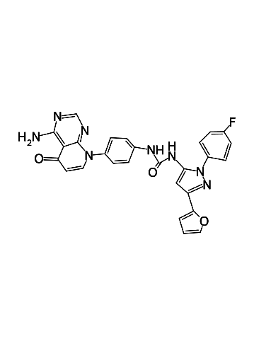 Nc1ncnc2c1c(=O)ccn2-c1ccc(NC(=O)Nc2cc(-c3ccco3)nn2-c2ccc(F)cc2)cc1